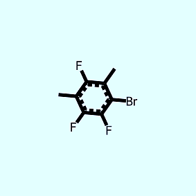 Cc1c(F)c(C)c(Br)c(F)c1F